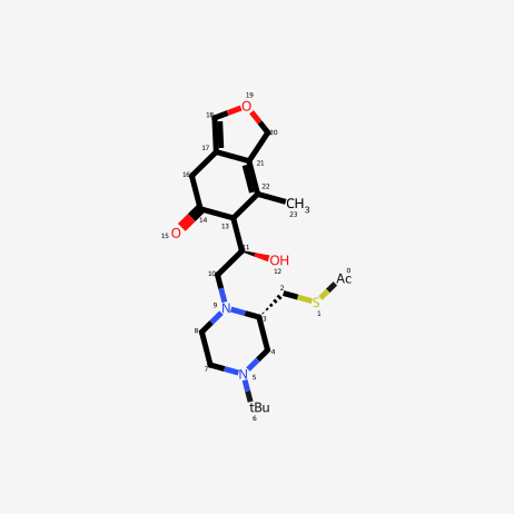 CC(=O)SC[C@@H]1CN(C(C)(C)C)CCN1C[C@H](O)C1C(=O)CC2=COCC2=C1C